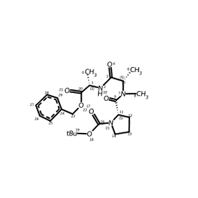 C[C@H](NC(=O)[C@H](C)N(C)C(=O)[C@@H]1CCCN1C(=O)OC(C)(C)C)C(=O)OCc1ccccc1